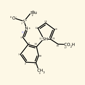 Cc1ccc(/C=N/[S+]([O-])C(C)(C)C)c([SH]2C=CC=C2CC(=O)O)c1